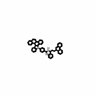 NC(NC(CCC1C=c2ccccc2=C2C=CC=CC21)C1C=CC=CC1)c1ccc(N2C3=C(CCC=C3)C3C2=c2ccccc2=C2C=Cc4ccccc4C23)cc1